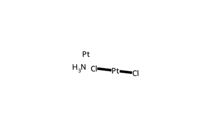 N.[Cl][Pt][Cl].[Pt]